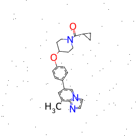 Cc1cc(-c2ccc(OC3CCN(C(=O)C4CC4)CC3)cc2)cn2ccnc12